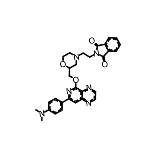 CN(C)c1ccc(-c2cc3nccnc3c(OCC3CN(CCN4C(=O)c5ccccc5C4=O)CCO3)n2)cc1